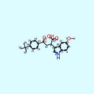 COc1ccc2[nH]cc(C(CC(=O)c3ccc(C(C)(C)C)cc3)C(=O)O)c2c1